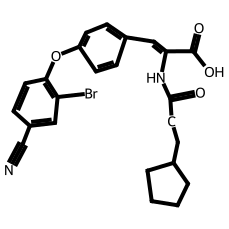 N#Cc1ccc(Oc2ccc(C=C(NC(=O)CCC3CCCC3)C(=O)O)cc2)c(Br)c1